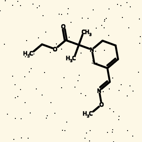 CCOC(=O)C(C)(C)N1CCC=C(C=NOC)C1